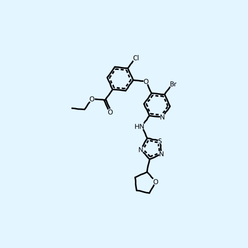 CCOC(=O)c1ccc(Cl)c(Oc2cc(Nc3nc(C4CCCO4)ns3)ncc2Br)c1